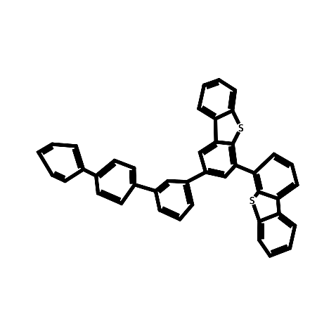 c1ccc(-c2ccc(-c3cccc(-c4cc(-c5cccc6c5sc5ccccc56)c5sc6ccccc6c5c4)c3)cc2)cc1